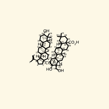 C=C(C)[C@@H]1CC[C@]2(C(=O)O)CC[C@]3(C)[C@H](CC[C@@H]4[C@@]5(C)CC[C@H](O)C(C)(C)[C@@H]5CC[C@]43C)[C@@H]12.CC1(C)CC[C@]2(C(=O)O)CC[C@]3(C)C(=CC[C@@H]4[C@@]5(C)CC[C@H](O)[C@@](C)(CO)[C@@H]5CC[C@]43C)[C@@H]2C1